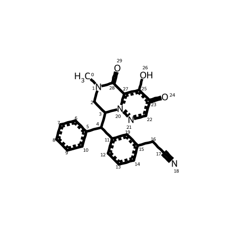 CN1CC(C(c2ccccc2)c2cccc(CC#N)c2)n2ncc(=O)c(O)c2C1=O